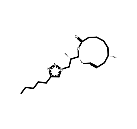 CCCCCc1cn(C[C@H](C)[C@H]2C/C=C/C[C@@H](C)[CH]CCCC(=O)O2)nn1